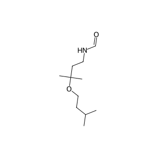 CC(C)CCOC(C)(C)CCNC=O